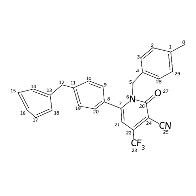 Cc1ccc(Cn2c(-c3ccc(Cc4ccccc4)cc3)cc(C(F)(F)F)c(C#N)c2=O)cc1